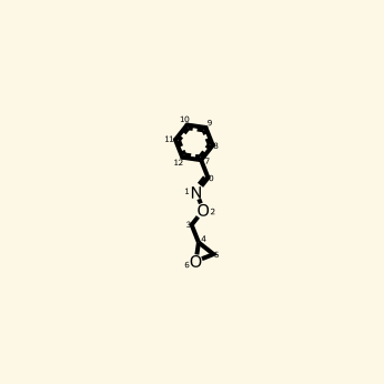 C(=NOCC1CO1)c1ccccc1